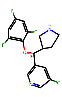 Fc1cc(F)c(O[C@H](c2cncc(Cl)c2)C2CCNC2)c(F)c1